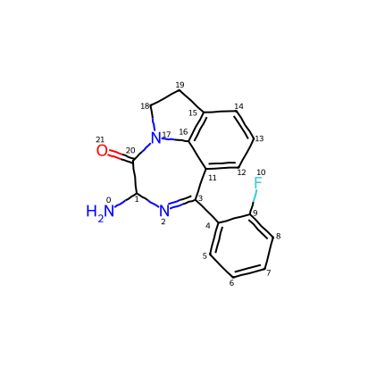 NC1N=C(c2ccccc2F)c2cccc3c2N(CC3)C1=O